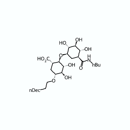 CCCCCCCCCCCCO[C@@H]1C[C@H](C(=O)O)[C@@H](O[C@@H]2C[C@H](C(=O)NCCCC)[C@@H](O)[C@H](O)[C@H]2O)[C@H](O)[C@H]1O